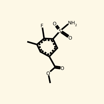 COC(=O)c1cc(C)c(F)c(S(N)(=O)=O)c1